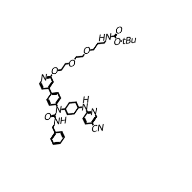 CC(C)(C)OC(=O)NCCCOCCOCCOc1cc(-c2ccc(N(C(=O)NCc3ccccc3)C3CCC(Nc4ccc(C#N)cn4)CC3)cc2)ccn1